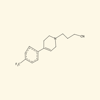 N#CCCCN1CC=C(c2ccc(C(F)(F)F)cc2)CC1